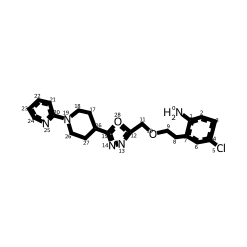 Nc1ccc(Cl)cc1CCOCc1nnc(C2CCN(c3ccccn3)CC2)o1